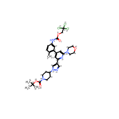 Cc1ccc(NC(=O)OCC(Cl)(Cl)Cl)cc1-c1cc(-c2cnn(C3CCN(C(=O)OC(C)(C)C)CC3)c2)nc(N2CCOCC2)c1